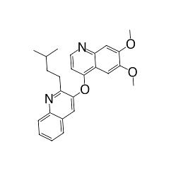 COc1cc2nccc(Oc3cc4ccccc4nc3CCC(C)C)c2cc1OC